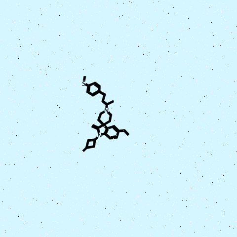 C=C1N(C2CC(C)C2)c2ccc(CC)cc2C12CCN(C(C)CCc1ccc(SC)cc1)CC2